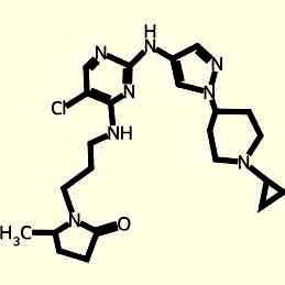 CC1CCC(=O)N1CCCNc1nc(Nc2cnn(C3CCN(C4CC4)CC3)c2)ncc1Cl